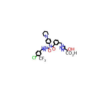 O=C(O)C(O)c1cn(Cc2cccc(C(=O)N(C(=O)NN=Cc3ccc(Cl)c(C(F)(F)F)c3)c3ccc(N4CCCCC4)cc3)c2)nn1